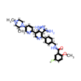 COc1ccc(F)cc1C(=O)NCc1ccc(-c2ncc(-c3ccc(N4CCN(C)C[C@H]4C)cn3)c3[nH]nc(N)c23)cc1